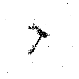 CC(C)(C)OC(=O)NC(C)(C)C(=O)Oc1ccc2c(c1)C[C@@H](CCCCCCCCC[S+]([O-])CCCC(F)(F)C(F)(F)F)[C@@H]1[C@@H]2CC[C@]2(C)[C@@H](O)CC[C@@H]12